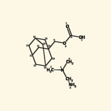 CN(C)C.N.O=C(O)OCC12CC3CC(CC(C3)C1)C2